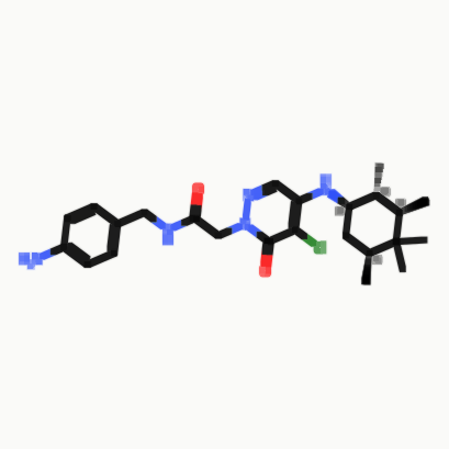 C[C@@H]1[C@@H](C)C(C)(C)[C@@H](C)C[C@H]1Nc1cnn(CC(=O)NCc2ccc(N)cc2)c(=O)c1Cl